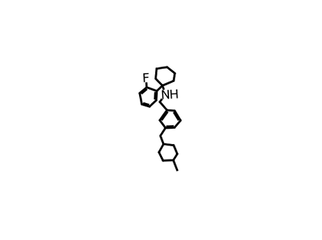 CC1CCC(Cc2cccc(CNC3(c4ccccc4F)CCCCC3)c2)CC1